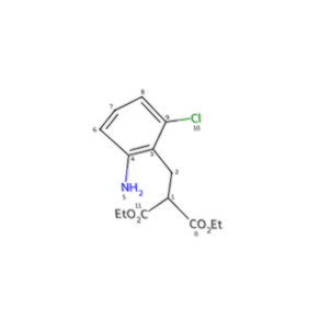 CCOC(=O)C(Cc1c(N)cccc1Cl)C(=O)OCC